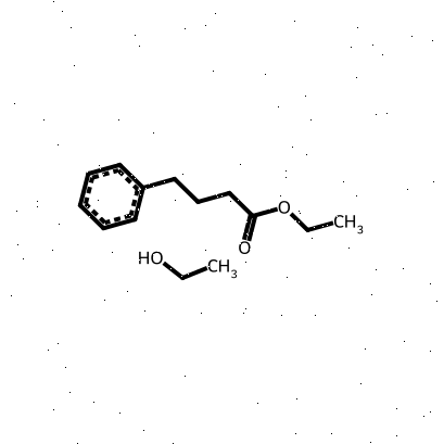 CCO.CCOC(=O)CCCc1ccccc1